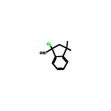 CC1(C)CC(Cl)(C=O)c2ccccc21